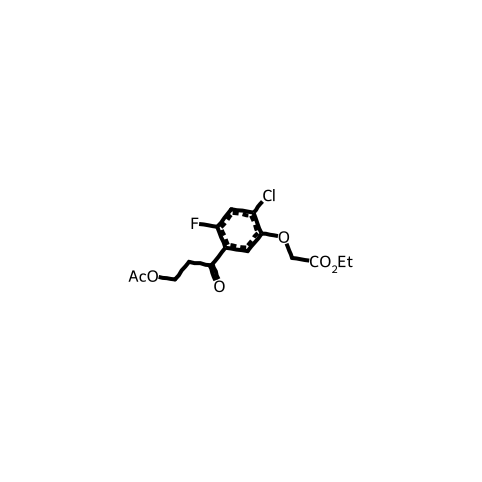 CCOC(=O)COc1cc(C(=O)CCOC(C)=O)c(F)cc1Cl